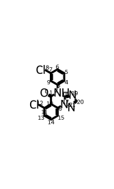 O=C(Nc1cccc(Cl)c1)c1c(Cl)cccc1-n1cncn1